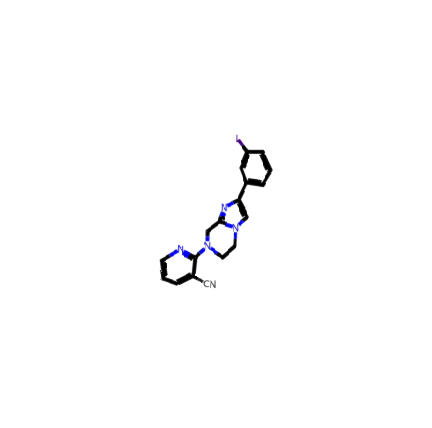 N#Cc1cccnc1N1CCn2cc(-c3cccc(I)c3)nc2C1